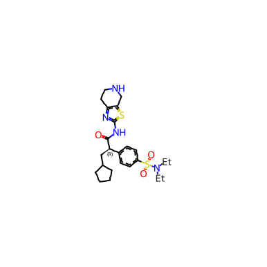 CCN(CC)S(=O)(=O)c1ccc([C@@H](CC2CCCC2)C(=O)Nc2nc3c(s2)CNCC3)cc1